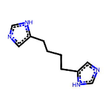 c1ncc(CCCCc2cnc[nH]2)[nH]1